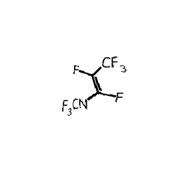 F/C(NC(F)(F)F)=C(/F)C(F)(F)F